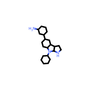 NC1CCCC(C2CCC3C(C2)C2CCNC2N3C2CCCCC2)C1